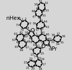 CCCCCCc1ccc(-c2oc3c(cc(-c4ccc(-c5cccc6ccccc56)cc4)c4c5oc(C(C)C)c(-c6ccccc6)c5cc(-c5ccc(-c6ccc7ccccc7c6)cc5)c34)c2-c2cccc3ccccc23)cc1